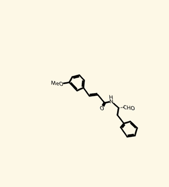 COc1cccc(/C=C/C(=O)N[C@H](C=O)Cc2ccccc2)c1